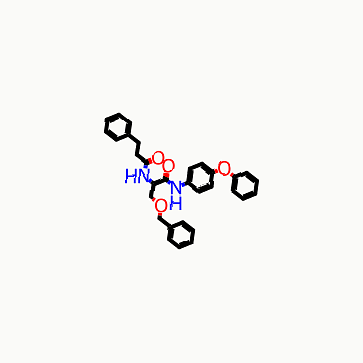 O=C(CCc1ccccc1)NC(COCc1ccccc1)C(=O)Nc1ccc(Oc2ccccc2)cc1